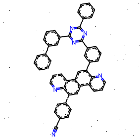 N#Cc1ccc(-c2cc3c4cccnc4c(-c4cccc(-c5nc(-c6ccccc6)nc(-c6cccc(-c7ccccc7)c6)n5)c4)cc3c3cccnc23)cc1